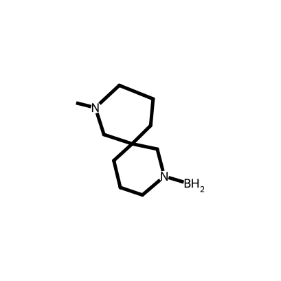 BN1CCCC2(CCCN(C)C2)C1